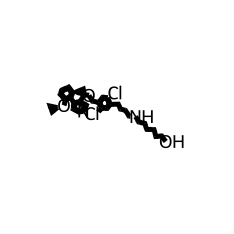 OCCCCCCNCCCCc1cc(Cl)c(COC2(c3cnccc3-c3ccccc3OC3CC3)CC2)cc1Cl